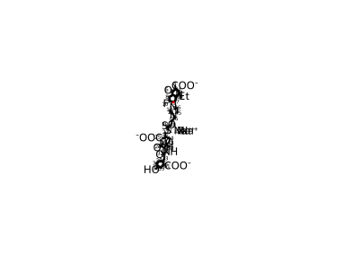 CCn1cc(C(=O)[O-])c(=O)c2cc(F)c(N3CCN(CCOC(=S)SCC4=C(C(=O)[O-])N5C(=O)[C@@H](NC(=O)Cc6ccc(O)cc6C(=O)[O-])[C@H]5OC4)CC3)cc21.[Na+].[Na+].[Na+]